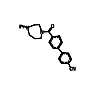 CC(C)N1CCCN(C(=O)c2ccc(-c3ccc(C#N)cc3)cc2)CC1